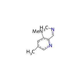 C/N=C\c1ncc(C)cc1NC